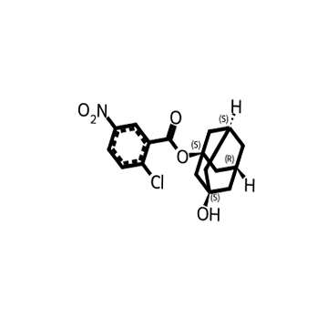 O=C(O[C@@]12C[C@@H]3C[C@@H](C[C@](O)(C3)C1)C2)c1cc([N+](=O)[O-])ccc1Cl